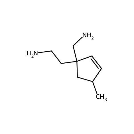 CC1C=CC(CN)(CCN)C1